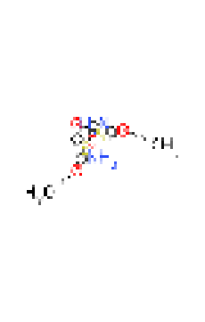 CCCCCCCOc1ccc(Sc2cccc3c2C(=O)c2c(Sc4ccc(OCCCCCCC)cc4N)cccc2C3=O)c(N)c1